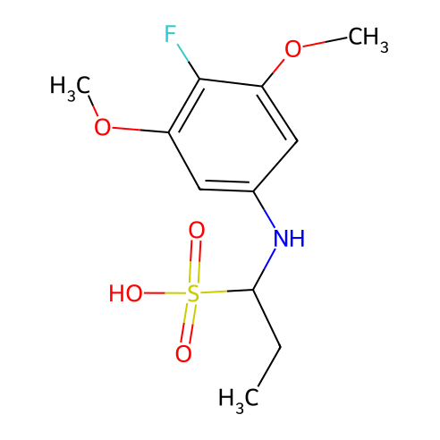 CCC(Nc1cc(OC)c(F)c(OC)c1)S(=O)(=O)O